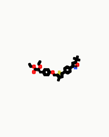 CCOC(=O)[C@H](Cc1ccc(OCc2sc(-c3ccc(-c4cc(C(C)(C)C)on4)cc3)cc2C)cc1)OCC